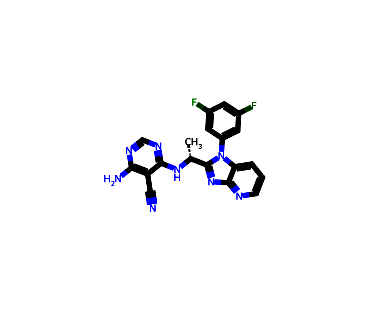 C[C@@H](Nc1ncnc(N)c1C#N)c1nc2ncccc2n1-c1cc(F)cc(F)c1